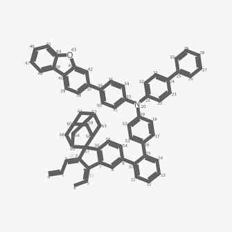 C=C/C=C1\C(=C/C)c2cc(-c3ccccc3-c3ccc(N(c4ccc(-c5ccccc5)cc4)c4ccc(-c5ccc6c(c5)oc5ccccc56)cc4)cc3)ccc2C12C1CC3CC(C1)CC2C3